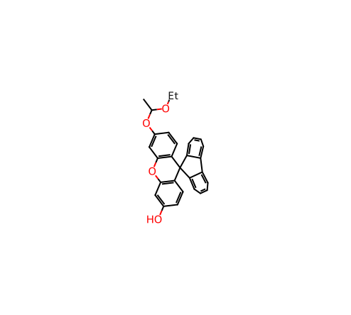 CCOC(C)Oc1ccc2c(c1)Oc1cc(O)ccc1C21c2ccccc2-c2ccccc21